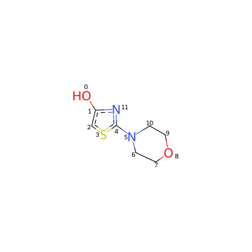 Oc1csc(N2CCOCC2)n1